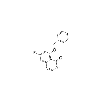 O=c1[nH]cnc2cc(F)cc(OCc3ccccc3)c12